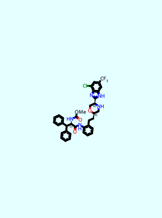 COC(=O)N[C@H](C(=O)Nc1ccccc1CC[C@@H]1CN[C@H](c2nc3c(Cl)cc(C(F)(F)F)cc3[nH]2)CO1)C(c1ccccc1)c1ccccc1